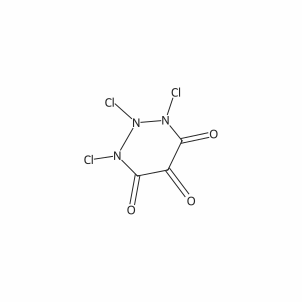 O=c1c(=O)n(Cl)n(Cl)n(Cl)c1=O